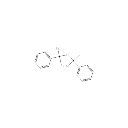 CC(OC(C)(c1ccccc1)[N+](=O)[O-])(c1ccccc1)[N+](=O)[O-]